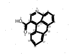 O=C(O)c1cnc2cccc3c2c1-c1ccccc1C3